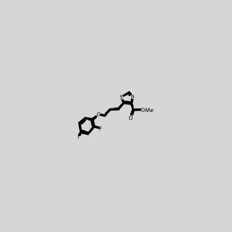 COC(=O)c1ncsc1CCCOc1ccc(I)cc1F